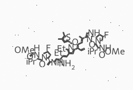 C=CC1=C(/C=C(\C)c2c[nH]c([C@@H]3C[C@@H](F)CN3C(=O)[C@@H](NC(=O)OC)C(C)C)n2)OC(c2cc(C)c(C)s2)n2c1cc(/C=C(CC)/C(N)=C/NC(=C)[C@@H]1C[C@@H](F)CN1C(=O)[C@@H](NC(=O)OC)C(C)C)c2CC